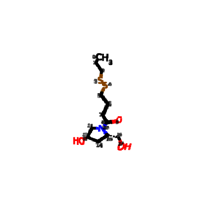 CCCSSCCCC(=O)N1C[C@H](O)C[C@H]1CO